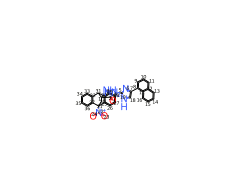 NC1(C(=O)Nc2nc(-c3cccc4ccccc34)c[nH]2)CC2([N+](=O)[O-])c3ccccc3C1c1ccccc12